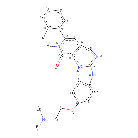 CCN(CC)CCOc1ccc(Nc2ncc3cc(-c4ccccc4C)n(C)c(=O)c3n2)cc1